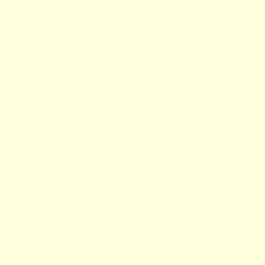 C=C1CC2(CC(C)C)OC(C)C1C2C(C)C